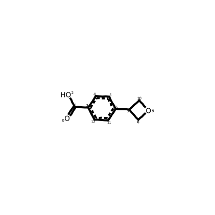 O=C(O)c1ccc(C2COC2)cc1